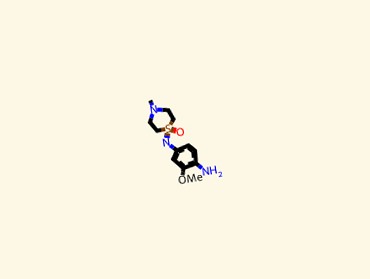 COc1cc(N=S2(=O)CCN(C)CC2)ccc1N